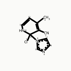 CC1=C(C#N)C(Cl)(n2ccnc2)NC=C1